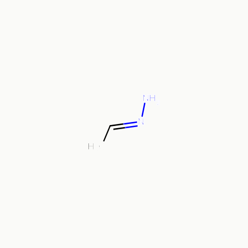 CC=NN